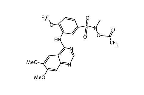 COc1cc2ncnc(Nc3cc(S(=O)(=O)N(C)OC(=O)C(F)(F)F)ccc3OC(F)(F)F)c2cc1OC